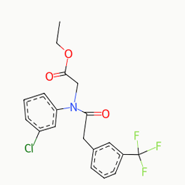 CCOC(=O)CN(C(=O)Cc1cccc(C(F)(F)F)c1)c1cccc(Cl)c1